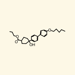 CCCCCOc1ccc(-c2ccc(C3(O)CCC(C(=O)OCCC)CC3)cc2)cc1